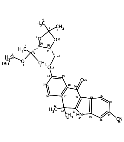 CC1(C)O[C@@H](C(C)(C)O[SiH2]C(C)(C)C)[C@@H](COc2ccc3c(c2)C(=O)c2c([nH]c4cc(C#N)ccc24)C3(C)C)O1